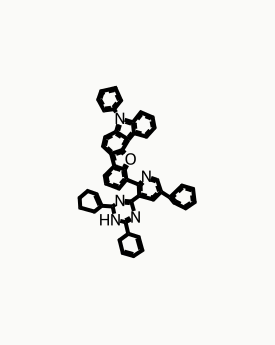 C1=CCC(C2=NC(c3cc(-c4ccccc4)cnc3-c3cccc4c3oc3c4ccc4c3c3ccccc3n4-c3ccccc3)=NC(C3=CCCCC3)N2)C=C1